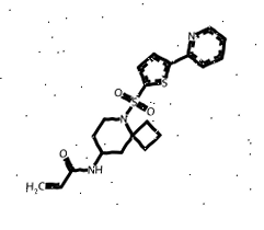 C=CC(=O)NC1CCN(S(=O)(=O)c2ccc(-c3ccccn3)s2)C2(CCC2)C1